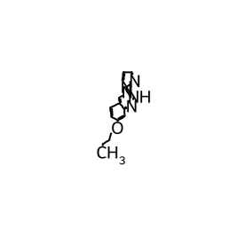 CCCCOc1ccc2c(c1)=NNN(n1cccn1)C=2